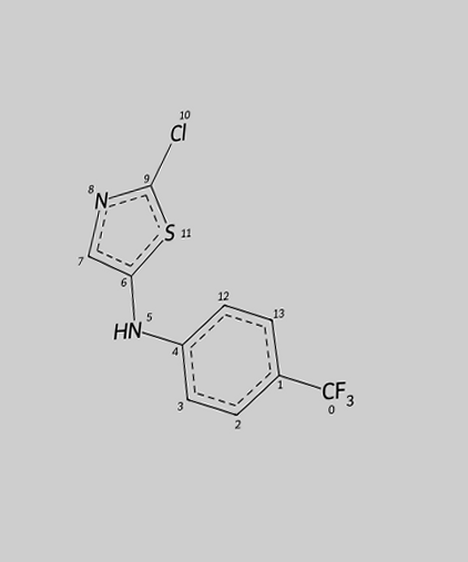 FC(F)(F)c1ccc(Nc2cnc(Cl)s2)cc1